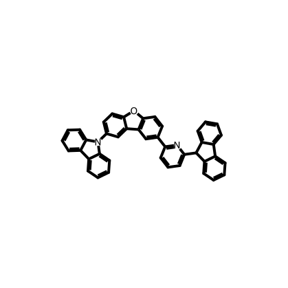 c1cc(-c2ccc3oc4ccc(-n5c6ccccc6c6ccccc65)cc4c3c2)nc(C2c3ccccc3-c3ccccc32)c1